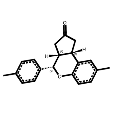 Cc1ccc([C@H]2Oc3ccc(C)cc3[C@H]3CC(=O)C[C@H]32)cc1